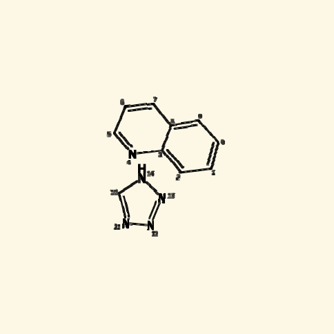 c1ccc2ncccc2c1.c1nnn[nH]1